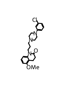 COc1cccc2c1CCC(=O)N2CCCN1CCN(c2cccc(Cl)c2)CC1